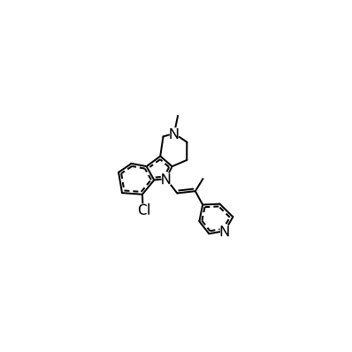 C/C(=C\n1c2c(c3cccc(Cl)c31)CN(C)CC2)c1ccncc1